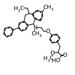 CCC1Cc2cc(-c3ccccc3)ccc2C(N(C)CCOc2ccc(CC(OC)C(=O)O)cc2)c2ccc(C)cc21